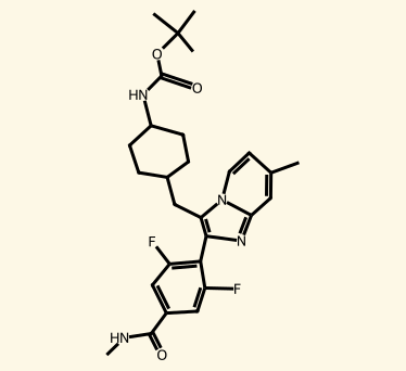 CNC(=O)c1cc(F)c(-c2nc3cc(C)ccn3c2CC2CCC(NC(=O)OC(C)(C)C)CC2)c(F)c1